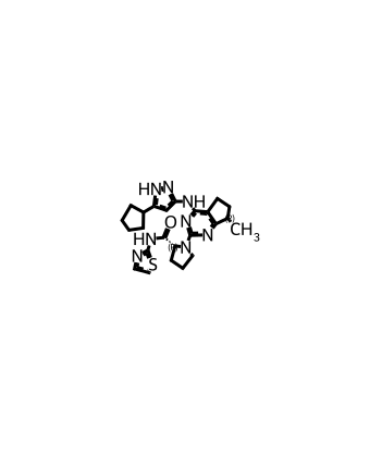 C[C@@H]1CCc2c(Nc3cc(C4CCCC4)[nH]n3)nc(N3CCC[C@@H]3C(=O)Nc3nccs3)nc21